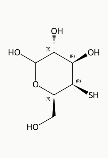 OC[C@H]1OC(O)[C@H](O)[C@@H](O)[C@H]1S